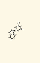 Fc1cc(F)cc(-n2ccc3c[c]ccc32)c1